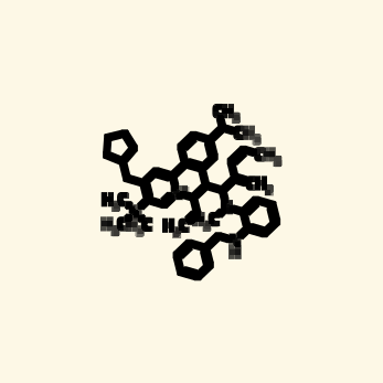 C=CC1C(C(C(=C)/C=C\C)N(C)c2ccccc2NCc2ccccc2)c2cc(C(C)C)ccc2-c2cc(CC3CCCC3)c([Si](C)(C)C)c[n+]21